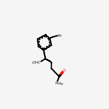 CNC(=O)CCC(C=O)c1cccc(C(C)C)c1